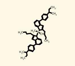 CCCCC1=Cc2c(-c3ccc(C(C)CC)cc3)cccc2C1[Si](C)(C)C1C(CCCC)=Cc2c(-c3ccc(C(C)CC)cc3)cccc21